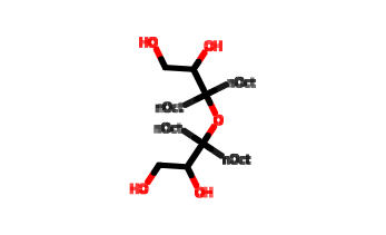 CCCCCCCCC(CCCCCCCC)(OC(CCCCCCCC)(CCCCCCCC)C(O)CO)C(O)CO